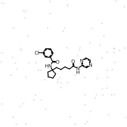 O=C(CCCCC1(NC(=O)c2cccc(Cl)c2)CCCC1)Nc1cnccn1